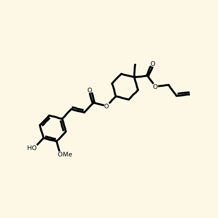 C=CCOC(=O)C1(C)CCC(OC(=O)/C=C/c2ccc(O)c(OC)c2)CC1